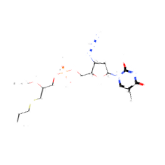 CCCCCCCCCCCCSCC(COP(=O)(O)OCC1OC(n2cc(C)c(=O)[nH]c2=O)CC1N=[N+]=[N-])OCCCCCCCCCC